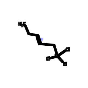 CC/C=C/C[Si](Cl)(Cl)Cl